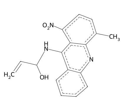 C=CC(O)Nc1c2ccccc2nc2c(C)ccc([N+](=O)[O-])c12